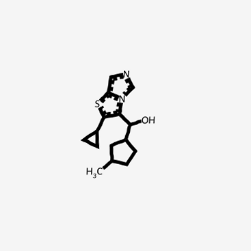 CC1CCC(C(O)c2c(C3CC3)sc3cncn23)C1